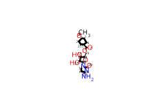 COc1ccc(C(=O)OC[C@H]2O[C@@H](n3ccc(N)nc3=O)[C@H](O)[C@@H]2O)cc1